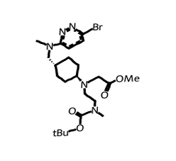 COC(=O)CN(CCN(C)C(=O)OC(C)(C)C)[C@H]1CC[C@H](CN(C)c2ccc(Br)nn2)CC1